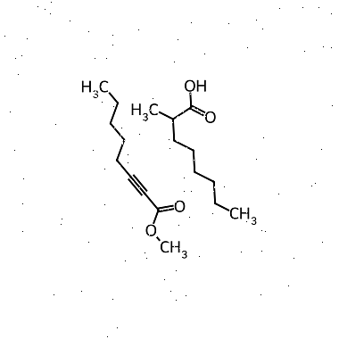 CCCCCC#CC(=O)OC.CCCCCCC(C)C(=O)O